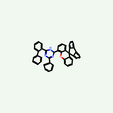 c1ccc(C2=NC(c3cccc4c3Oc3ccccc3C43c4ccccc4-c4ccccc43)NC(c3ccccc3-c3ccccc3)=N2)cc1